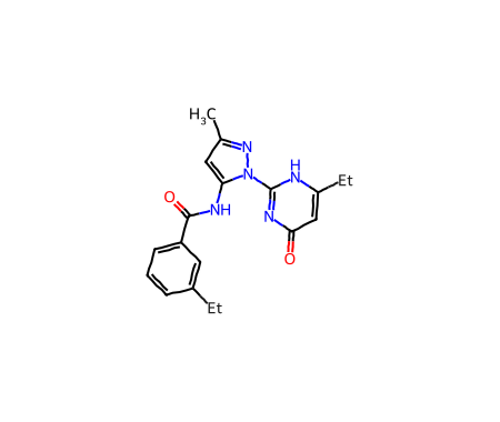 CCc1cccc(C(=O)Nc2cc(C)nn2-c2nc(=O)cc(CC)[nH]2)c1